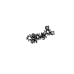 N#Cc1ccccc1S(=O)(=O)N1CCN(c2nc(-c3cc(Cl)cc(Cl)c3)cs2)CC1